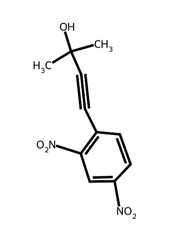 CC(C)(O)C#Cc1ccc([N+](=O)[O-])cc1[N+](=O)[O-]